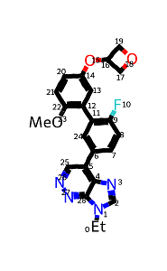 CCn1cnc2c(-c3ccc(F)c(-c4cc(OC5COC5)ccc4OC)c3)cnnc21